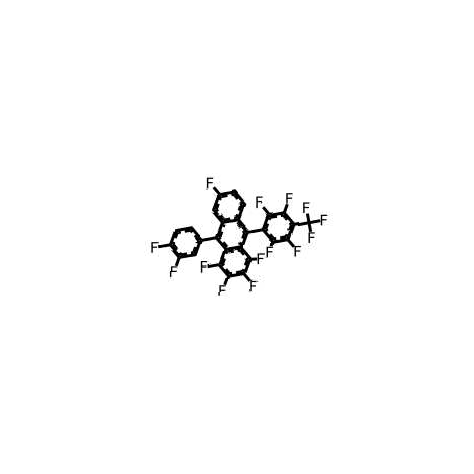 Fc1ccc2c(-c3c(F)c(F)c(C(F)(F)F)c(F)c3F)c3c(F)c(F)c(F)c(F)c3c(-c3ccc(F)c(F)c3)c2c1